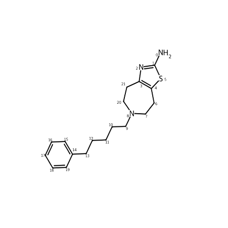 Nc1nc2c(s1)CCN(CCCCCc1ccccc1)CC2